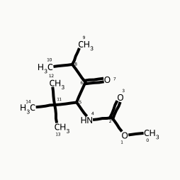 COC(=O)NC(C(=O)C(C)C)C(C)(C)C